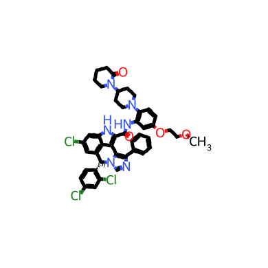 COCCOc1ccc(N2CCC(N3CCCCC3=O)CC2)c(NC(=O)c2[nH]c3cc(Cl)cc4c3c2-c2c(-c3ccccc3)ncn2[C@@H]4c2ccc(Cl)cc2Cl)c1